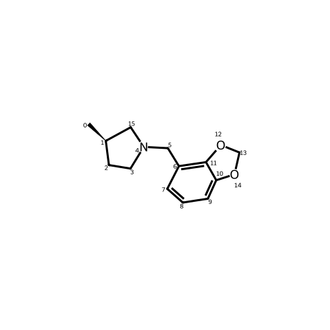 C[C@@H]1CCN(Cc2cccc3c2OCO3)C1